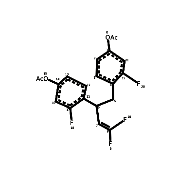 CC(=O)Oc1ccc(CC(C=C(F)F)c2ccc(OC(C)=O)cc2F)c(F)c1